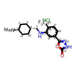 CN[C@H]1CC[C@H](CNc2cc(-c3n[nH]c(=O)o3)ccc2C(F)(F)F)CC1.Cl